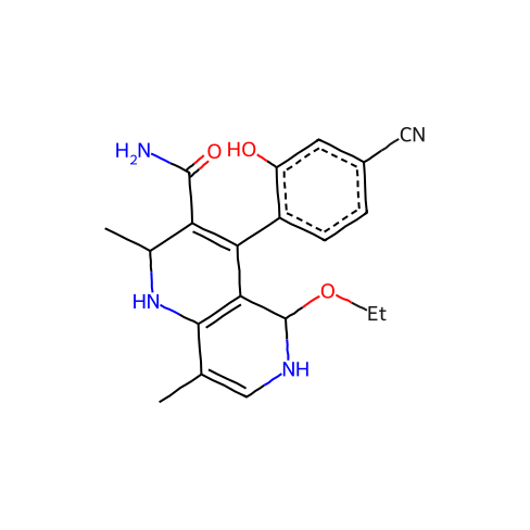 CCOC1NC=C(C)C2=C1C(c1ccc(C#N)cc1O)=C(C(N)=O)C(C)N2